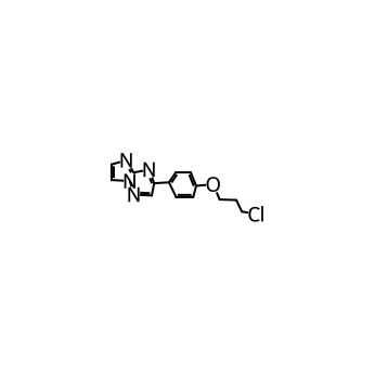 ClCCCOc1ccc(-c2cnn3ccnc3n2)cc1